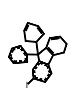 Ic1ccc2c(c1)C(c1ccccc1)(C1C=CC=CC1)C1=C2CCC=C1